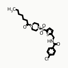 CCCCCCC(=O)N1CCN(S(=O)(=O)c2ccc(CNC(=O)c3ccc(Cl)cc3)s2)CC1